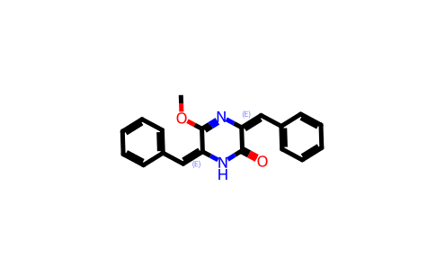 COc1n/c(=C/c2ccccc2)c(=O)[nH]/c1=C/c1ccccc1